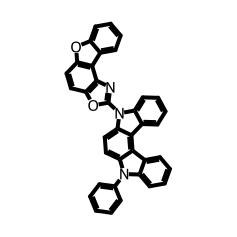 c1ccc(-n2c3ccccc3c3c4c5ccccc5n(-c5nc6c(ccc7oc8ccccc8c76)o5)c4ccc32)cc1